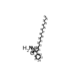 CCCCCCCCCCCCCCCCC(C(=O)NN)c1ccccc1